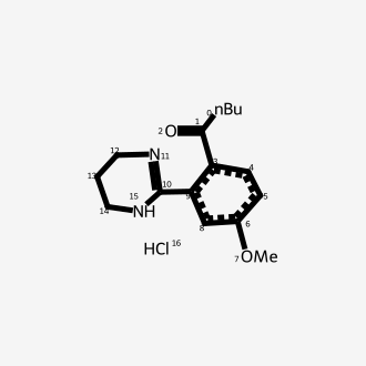 CCCCC(=O)c1ccc(OC)cc1C1=NCCCN1.Cl